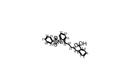 O=C(O)c1ccccc1CCCCCc1ccccc1NS(=O)(=O)c1ccccc1